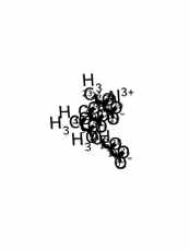 CC(=O)CC(=O)O.CC(=O)CC(=O)[O-].CCCC(=O)CC(=O)[O-].CCCC(=O)CC(=O)[O-].[Al+3]